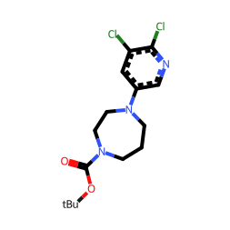 CC(C)(C)OC(=O)N1CCCN(c2cnc(Cl)c(Cl)c2)CC1